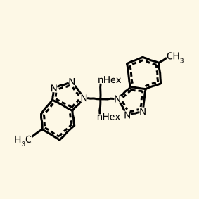 CCCCCCC(CCCCCC)(n1nnc2cc(C)ccc21)n1nnc2cc(C)ccc21